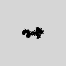 CC1(C)c2ccccc2-c2c1ccc1c2c2ccccc2n1-c1ccc(-c2nc(-c3ccccc3)nc(-c3cccc4oc5ccccc5c34)n2)cc1